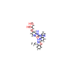 O=C(N[C@H](c1ccccc1)C(F)(F)F)c1ccc2c(n1)N(C(=O)Nc1cc(OCC(O)CO)ccn1)C1CCN2C1